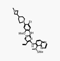 C=Cc1cnc(Nc2cc(CC)c(N3CCC(C4CN(C)C4)CC3)cc2OC)nc1Nc1ccc2nccnc2c1N(C)SC